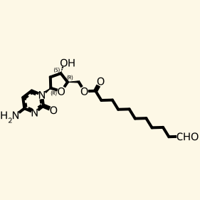 Nc1ccn([C@H]2C[C@H](O)[C@@H](COC(=O)CCCCCCCCCC=O)O2)c(=O)n1